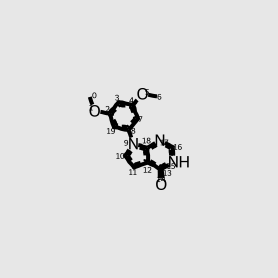 COc1cc(OC)cc(-n2ccc3c(=O)[nH]cnc32)c1